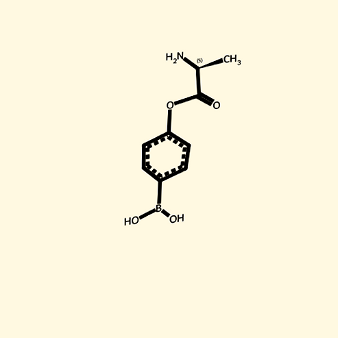 C[C@H](N)C(=O)Oc1ccc(B(O)O)cc1